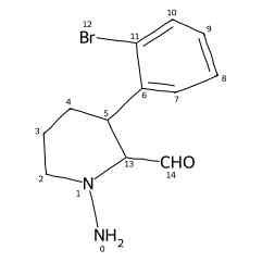 NN1CCCC(c2ccccc2Br)C1C=O